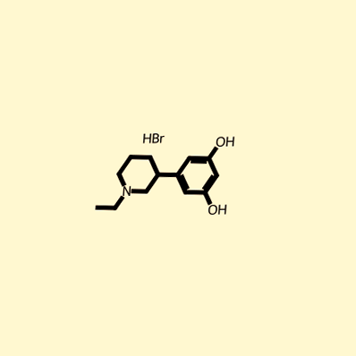 Br.CCN1CCCC(c2cc(O)cc(O)c2)C1